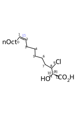 CCCCCCCC/C=C\CCCCCC(Cl)[C@H](O)C(=O)O